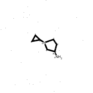 N[C@@H]1CCN(C2CC2)C1